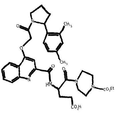 CCOC(=O)N1CCN(C(=O)C(CCC(=O)O)NC(=O)c2cc(OCC(=O)N3CCCC3c3ccc(C)cc3C)c3ccccc3n2)CC1